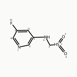 O=[SH](=O)CNc1cncc(F)c1